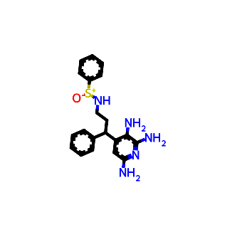 Nc1cc(C(CCN[S+]([O-])c2ccccc2)c2ccccc2)c(N)c(N)n1